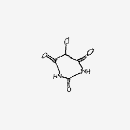 O=C1NC(=O)C(Cl)C(=O)N1